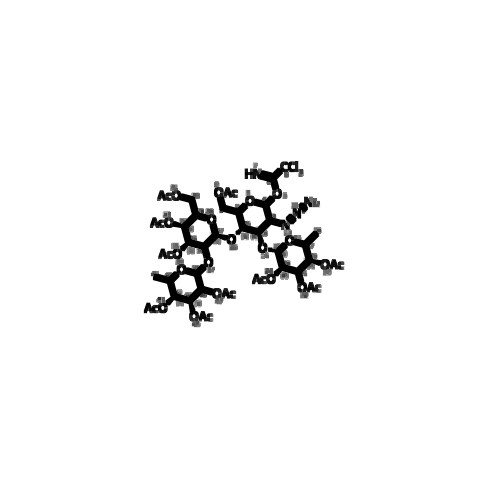 CC(=O)OCC1OC(OC(=N)C(Cl)(Cl)Cl)C(N=[N+]=[N-])[C@@H](O[C@@H]2OC(C)[C@@H](OC(C)=O)C(OC(C)=O)[C@H]2OC(C)=O)[C@@H]1O[C@@H]1OC(COC(C)=O)[C@H](OC(C)=O)[C@H](OC(C)=O)C1OC1OC(C)[C@H](OC(C)=O)[C@H](OC(C)=O)C1OC(C)=O